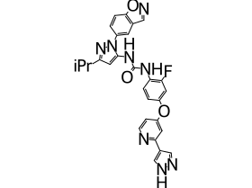 CC(C)c1cc(NC(=O)Nc2ccc(Oc3ccnc(-c4cn[nH]c4)c3)cc2F)n(-c2ccc3oncc3c2)n1